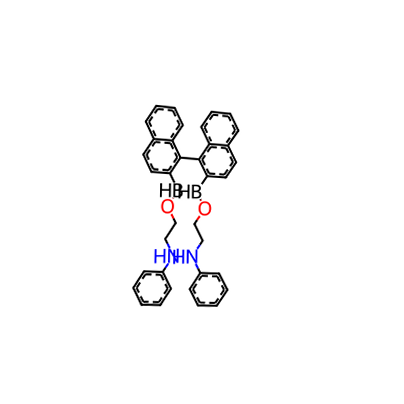 B(OCCNc1ccccc1)c1ccc2ccccc2c1-c1c(BOCCNc2ccccc2)ccc2ccccc12